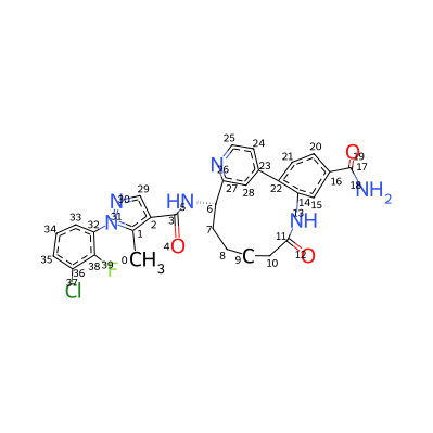 Cc1c(C(=O)N[C@H]2CCCCC(=O)Nc3cc(C(N)=O)ccc3-c3ccnc2c3)cnn1-c1cccc(Cl)c1F